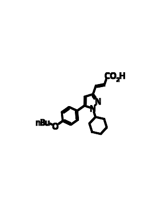 CCCCOc1ccc(-c2cc(/C=C/C(=O)O)nn2C2CCCCC2)cc1